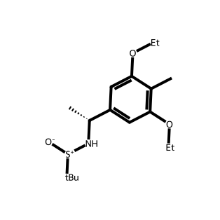 CCOc1cc([C@@H](C)N[S+]([O-])C(C)(C)C)cc(OCC)c1C